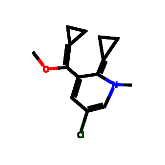 COC(C1=CC(Cl)=CN(C)C1=C1CC1)=C1CC1